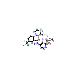 CC1CN(c2ccc(C(F)(F)F)cc2C(=O)Nc2ccnc([S@](C)(=N)=O)c2)CCC1(F)F